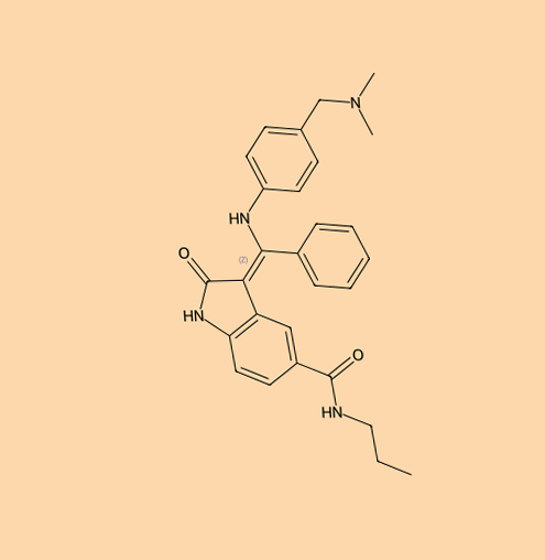 CCCNC(=O)c1ccc2c(c1)/C(=C(/Nc1ccc(CN(C)C)cc1)c1ccccc1)C(=O)N2